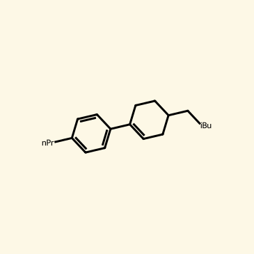 CCCc1ccc(C2=CCC(CC(C)CC)CC2)cc1